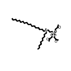 CCCCCCCCCCCCCCCCCC[N+](C)(CCCCCCCCCC)CCC[Si](OCC1CO1)(OCC1CO1)OCC1CO1